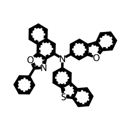 c1ccc(-c2nc3c(N(c4ccc5c(c4)oc4ccccc45)c4ccc5sc6ccccc6c5c4)cc4ccccc4c3o2)cc1